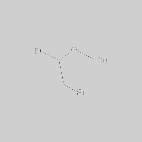 [CH2]CC(CC(C)C)OC(C)(C)C